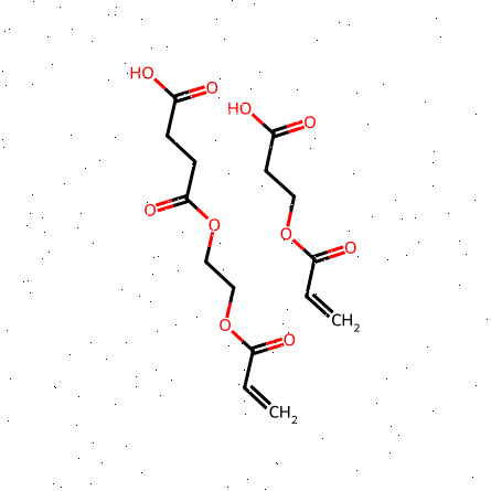 C=CC(=O)OCCC(=O)O.C=CC(=O)OCCOC(=O)CCC(=O)O